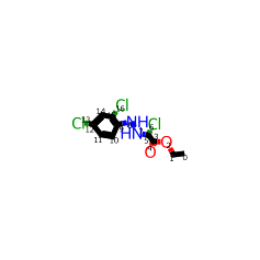 CCOC(=O)C(Cl)NNc1ccc(Cl)cc1Cl